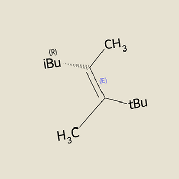 CC[C@@H](C)/C(C)=C(\C)C(C)(C)C